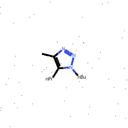 CCCCn1nnc(C)c1CCC